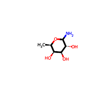 C[C@H]1OC(N)[C@H](O)[C@@H](O)[C@H]1O